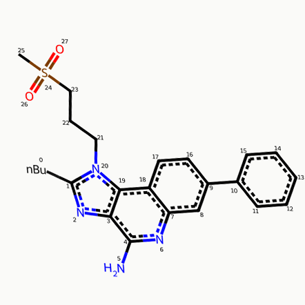 CCCCc1nc2c(N)nc3cc(-c4ccccc4)ccc3c2n1CCCS(C)(=O)=O